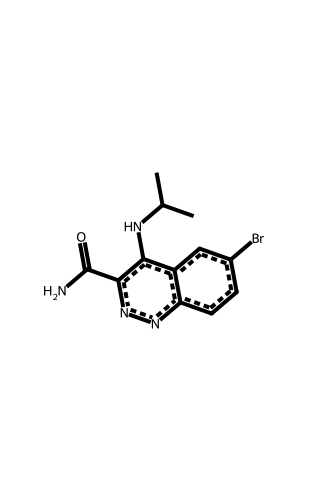 CC(C)Nc1c(C(N)=O)nnc2ccc(Br)cc12